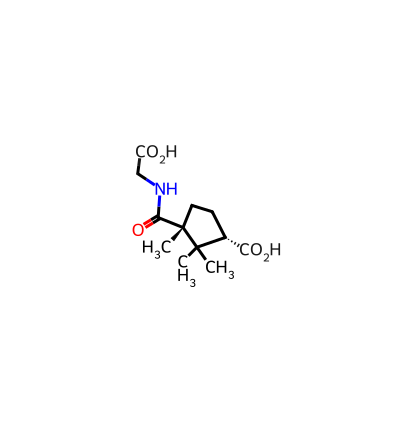 CC1(C)[C@@H](C(=O)O)CC[C@@]1(C)C(=O)NCC(=O)O